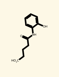 O=C(O)CCCC(=O)Nc1ccccc1O